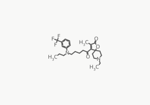 CCCN(CCCCC(=O)C1=C(C)C(=O)OC12CCN(CC)CC2)c1cccc(C(F)(F)F)c1